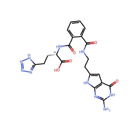 Nc1nc2[nH]c(CCNC(=O)c3ccccc3C(=O)N[C@@H](CCc3nnn[nH]3)C(=O)O)cc2c(=O)[nH]1